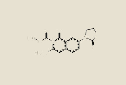 CC(C)(C)OC(=O)n1c(C(=O)O)cc2ccc(N3CCOC3=O)cc2c1=O